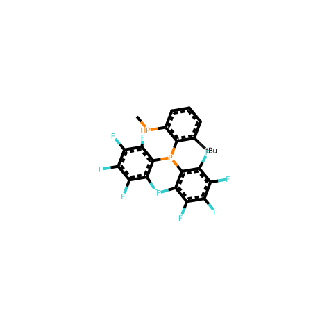 CPc1cccc(C(C)(C)C)c1P(c1c(F)c(F)c(F)c(F)c1F)c1c(F)c(F)c(F)c(F)c1F